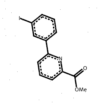 COC(=O)c1cccc(-c2cccc(I)c2)n1